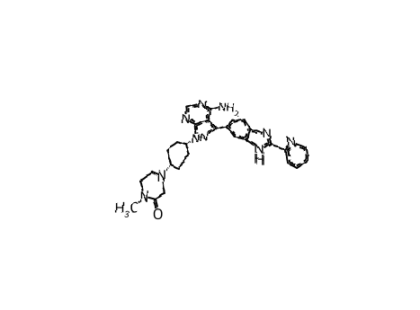 CN1CCN([C@H]2CC[C@@H](n3nc(-c4ccc5nc(-c6ccccn6)[nH]c5c4)c4c(N)ncnc43)CC2)CC1=O